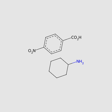 NC1CCCCC1.O=C(O)c1ccc([N+](=O)[O-])cc1